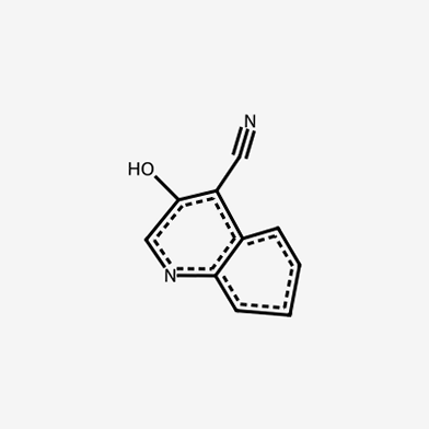 N#Cc1c(O)cnc2ccccc12